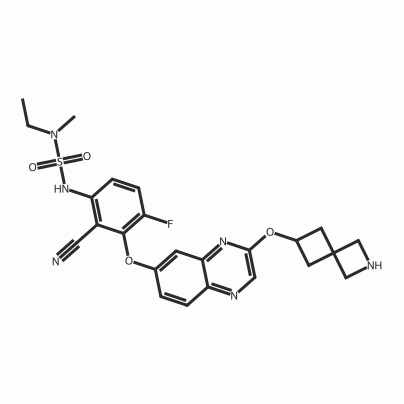 CCN(C)S(=O)(=O)Nc1ccc(F)c(Oc2ccc3ncc(OC4CC5(CNC5)C4)nc3c2)c1C#N